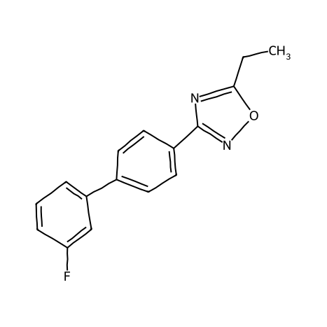 CCc1nc(-c2ccc(-c3cccc(F)c3)cc2)no1